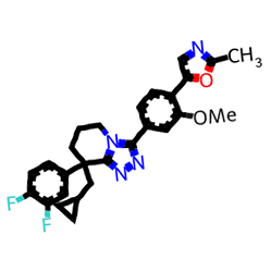 COc1cc(-c2nnc3n2CCCC3(CC2CC2)c2ccc(F)c(F)c2)ccc1-c1cnc(C)o1